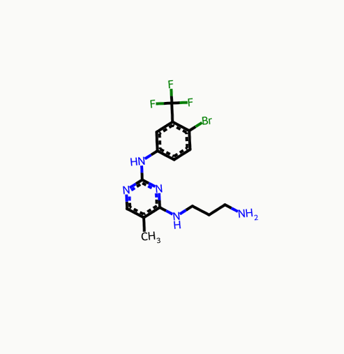 Cc1cnc(Nc2ccc(Br)c(C(F)(F)F)c2)nc1NCCCN